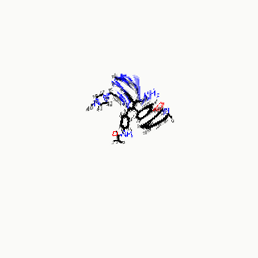 C=C(C)C(=O)Nc1ccc(-c2c(-c3ccc(Oc4cccc(C)n4)cc3)c3c(N)ncnc3n2CCN2CCN(C)CC2)cc1